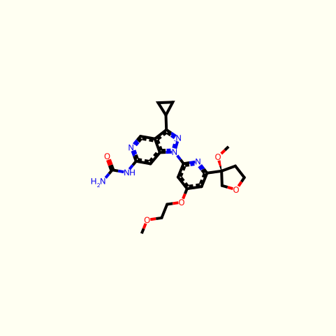 COCCOc1cc(-n2nc(C3CC3)c3cnc(NC(N)=O)cc32)nc([C@]2(OC)CCOC2)c1